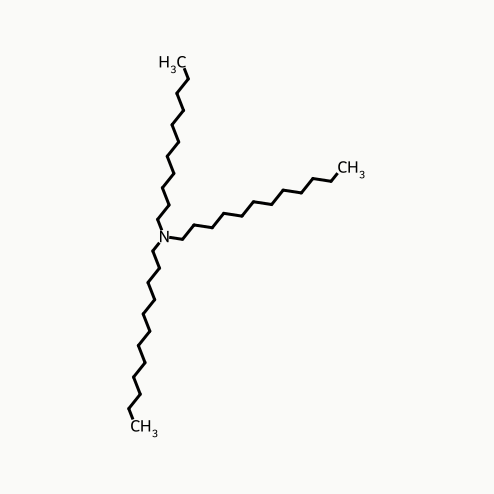 CCCCCCCCCCCCN(CCCCCCCCCCC)CCCCCCCCCCCC